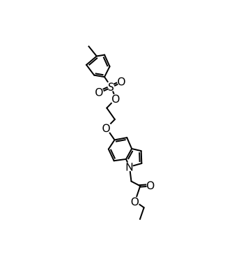 CCOC(=O)Cn1ccc2cc(OCCOS(=O)(=O)c3ccc(C)cc3)ccc21